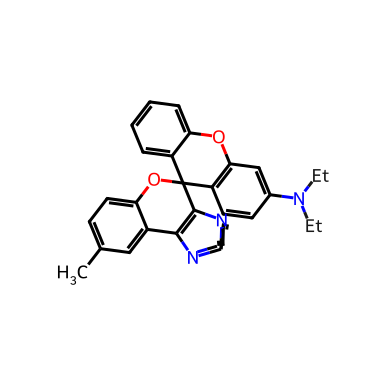 CCN(CC)c1ccc2c(c1)Oc1ccccc1C21Oc2ccc(C)cc2-c2nc3ccccn3c21